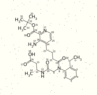 CCc1ccccc1N(CC(=O)N[C@H](C)CC(=O)O)C(=O)CCCc1ccnc(C(=O)OC(C)(C)C)c1N